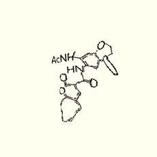 CC(=O)Nc1cc2c(cc1NC(=O)c1cc3ccccc3oc1=O)OCCO2